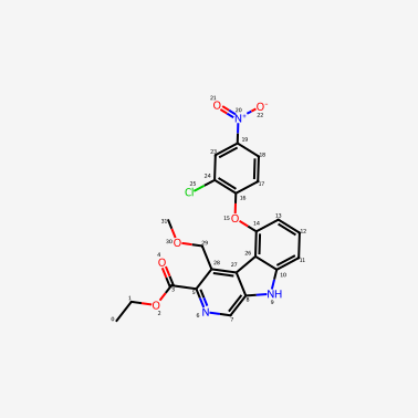 CCOC(=O)c1ncc2[nH]c3cccc(Oc4ccc([N+](=O)[O-])cc4Cl)c3c2c1COC